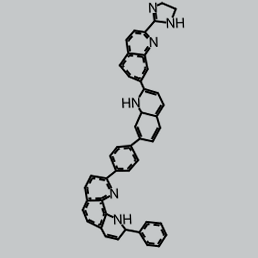 C1=CC2=CC=C(c3ccc4ccc(C5=NCCN5)nc4c3)NC2C=C1c1ccc(-c2ccc3ccc4c(c3n2)NC(c2ccccc2)C=C4)cc1